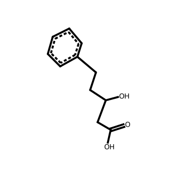 O=C(O)CC(O)CCc1ccccc1